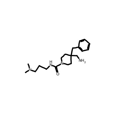 CN(C)CCCNC(=O)N1CCC(CN)(Cc2ccccc2)CC1